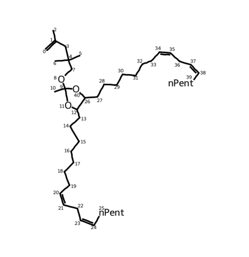 C=C(C)CC(C)(C)COC1(C)OC(CCCCCCC/C=C\C/C=C\CCCCC)C(CCCCCCC/C=C\C/C=C\CCCCC)O1